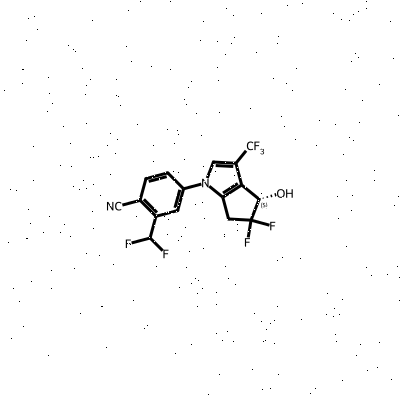 N#Cc1ccc(-n2cc(C(F)(F)F)c3c2CC(F)(F)[C@H]3O)cc1C(F)F